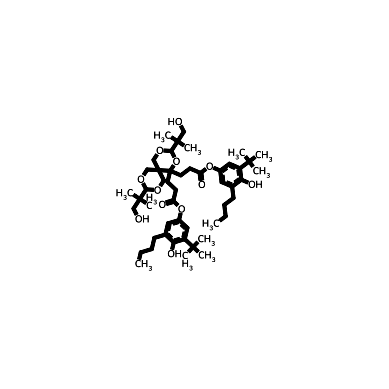 CCCCc1cc(OC(=O)CCC2(CCC(=O)Oc3cc(CCCC)c(O)c(C(C)(C)C)c3)OC(C(C)(C)CO)OCC23COC(C(C)(C)CO)OC3)cc(C(C)(C)C)c1O